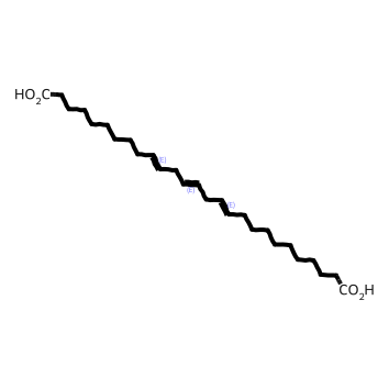 O=C(O)CCCCCCCC/C=C/C/C=C/C/C=C/CCCCCCCCCC(=O)O